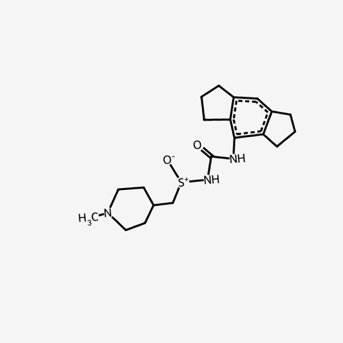 CN1CCC(C[S+]([O-])NC(=O)Nc2c3c(cc4c2CCC4)CCC3)CC1